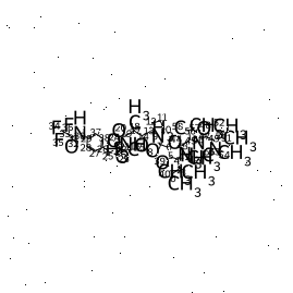 CCC(C)[C@@H]([C@@H](CC(=O)N1CCC[C@H]1[C@H](OC)[C@@H](C)C(=O)NS(=O)(=O)Cc1ccc(NC(=O)C(F)(F)F)cc1)OC)N(C)C(=O)[C@@H](NC(=O)[C@H](C(C)C)N(C)C)C(C)C